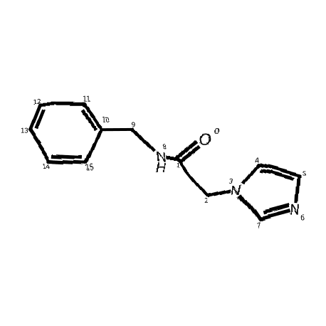 O=C(Cn1ccnc1)NCc1ccccc1